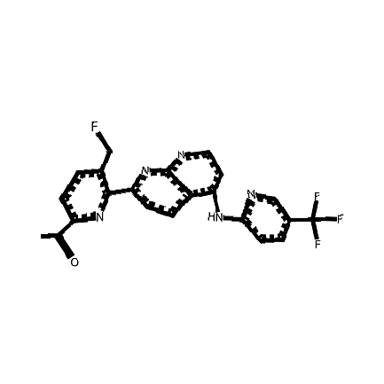 CC(=O)c1ccc(CF)c(-c2ccc3c(Nc4ccc(C(F)(F)F)cn4)ccnc3n2)n1